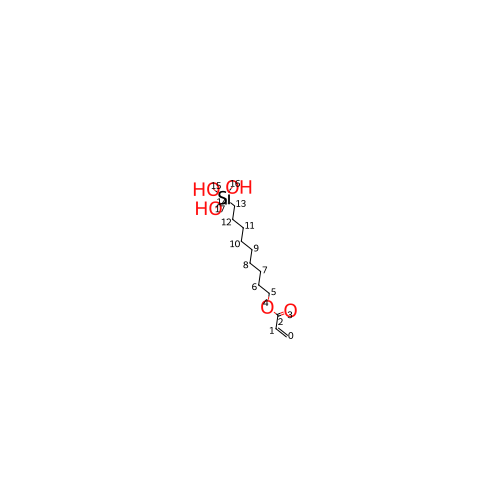 C=CC(=O)OCCCCCCCCC[Si](O)(O)O